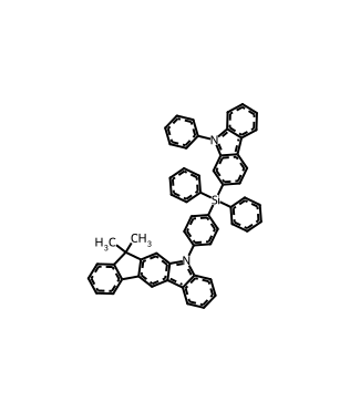 CC1(C)c2ccccc2-c2cc3c4ccccc4n(-c4ccc([Si](c5ccccc5)(c5ccccc5)c5ccc6c7ccccc7n(-c7ccccc7)c6c5)cc4)c3cc21